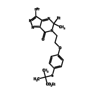 CCCC1=NN=C2C(=O)N(CCOc3ccc(SC(C)(C)C(=O)OCC)cc3)C(C)(CC)N=C12